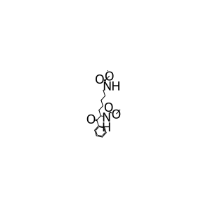 COC(=O)NCCCCCC(NC(=O)OC)C(=O)c1ccccc1